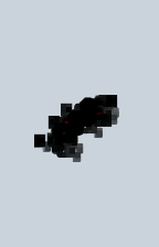 CO[C@H]1C[C@@]2(C)[C@@H]3C[C@H](O)[C@H]4C(C)(C)[C@@H](CO)CC[C@]4(C)C3=CC[C@]2(C)[C@H]1[C@@]1(C)CC[C@@H](C(C)(C)OC)O1